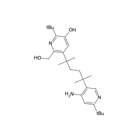 CC(C)(C)c1cc(N)c(C(C)(C)CCC(C)(C)c2cc(O)c(C(C)(C)C)nc2CO)cn1